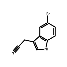 N#CCc1c[nH]c2ccc(Br)cc12